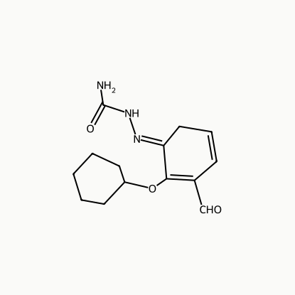 NC(=O)NN=C1CC=CC(C=O)=C1OC1CCCCC1